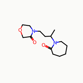 CC(CCN1CCOCC1=O)N1CCCCCC1=O